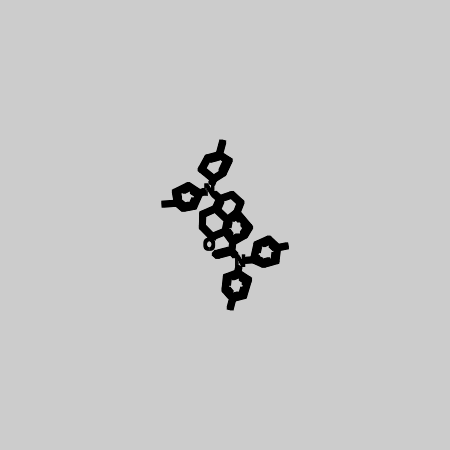 C/C=C(\c1ccc2c3c1C(=O)CCC3=C(N(c1ccc(C)cc1)C1C=CC(C)=CC1)CC2)N(c1ccc(C)cc1)c1ccc(C)cc1